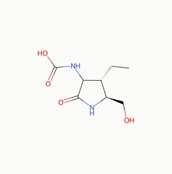 CC[C@H]1C(NC(=O)O)C(=O)N[C@@H]1CO